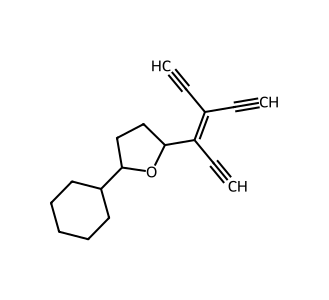 C#CC(C#C)=C(C#C)C1CCC(C2CCCCC2)O1